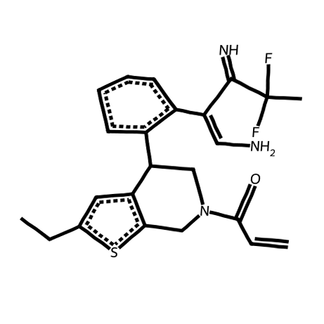 C=CC(=O)N1Cc2sc(CC)cc2C(c2ccccc2/C(=C/N)C(=N)C(C)(F)F)C1